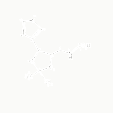 CC1(C)OC(CNS(=O)(=O)O)C(c2ccsc2)O1